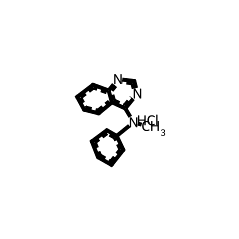 CN(c1ccccc1)c1ncnc2ccccc12.Cl